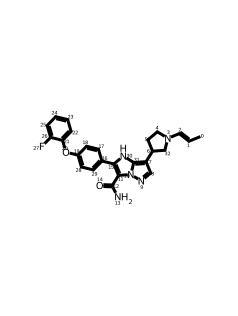 CC=CN1CCC(c2cnn3c(C(N)=O)c(-c4ccc(Oc5ccccc5F)cc4)[nH]c23)C1